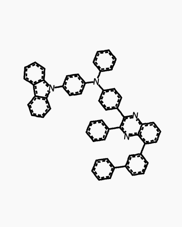 c1ccc(-c2cccc(-c3cccc4nc(-c5ccc(N(c6ccccc6)c6ccc(-n7c8ccccc8c8ccccc87)cc6)cc5)c(-c5ccccc5)nc34)c2)cc1